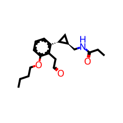 CCCCOc1cccc([C@@H]2C[C@H]2CNC(=O)CC)c1CC=O